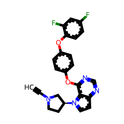 C#CN1CC[C@H](n2ccc3ncnc(Oc4ccc(Oc5ccc(F)cc5F)cc4)c32)C1